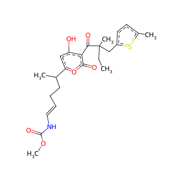 CCC(C)(Cc1ccc(C)s1)C(=O)c1c(O)cc(C(C)CC/C=C/NC(=O)OC)oc1=O